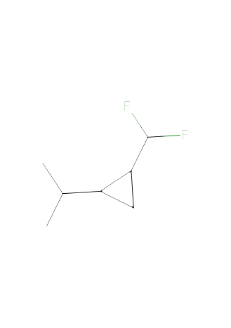 CC(C)C1CC1C(F)F